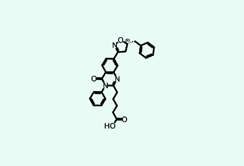 O=C(O)CCCCc1nc2cc(C3=NO[C@H](Cc4ccccc4)C3)ccc2c(=O)n1-c1ccccc1